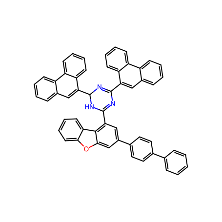 c1ccc(-c2ccc(-c3cc(C4=NC(c5cc6ccccc6c6ccccc56)=NC(c5cc6ccccc6c6ccccc56)N4)c4c(c3)oc3ccccc34)cc2)cc1